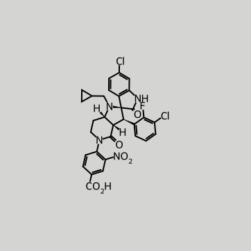 O=C(O)c1ccc(N2CC[C@H]3[C@@H](C2=O)[C@H](c2cccc(Cl)c2F)[C@]2(C(=O)Nc4cc(Cl)ccc42)N3CC2CC2)c([N+](=O)[O-])c1